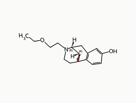 CCOCCN1CCC23CCCC[C@H]2[C@H]1Cc1cc(O)ccc13